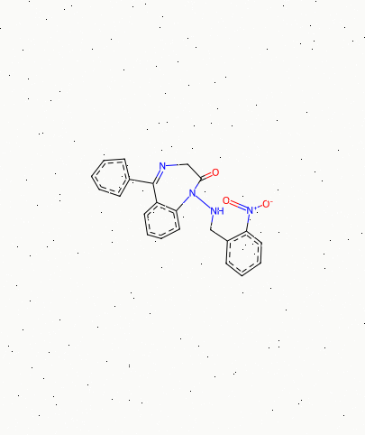 O=C1CN=C(c2ccccc2)c2ccccc2N1NCc1ccccc1[N+](=O)[O-]